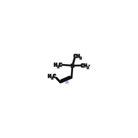 [CH2][Si](C)(C)/C=C\C